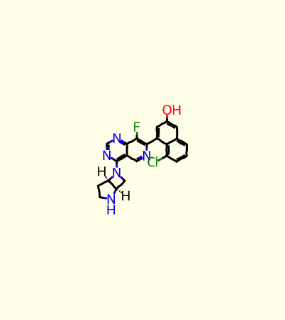 Oc1cc(-c2ncc3c(N4C[C@H]5NCC[C@H]54)ncnc3c2F)c2c(Cl)cccc2c1